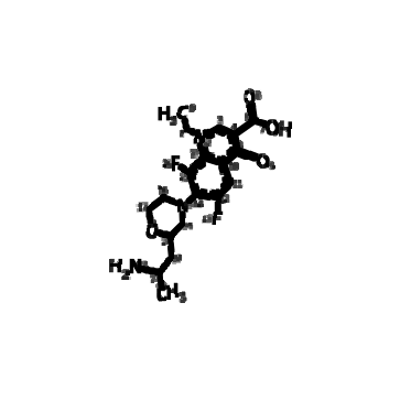 CCn1cc(C(=O)O)c(=O)c2cc(F)c(N3CCOC(CC(C)N)C3)c(F)c21